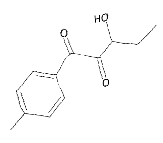 CCC(O)C(=O)C(=O)c1ccc(C)cc1